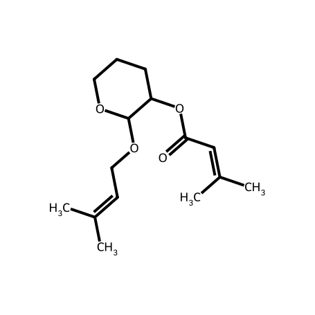 CC(C)=CCOC1OCCCC1OC(=O)C=C(C)C